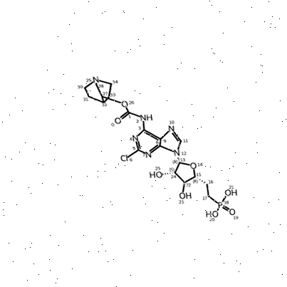 O=C(Nc1nc(Cl)nc2c1ncn2[C@@H]1O[C@H](CCP(=O)(O)O)C(O)[C@@H]1O)OC1CN2CCC1CC2